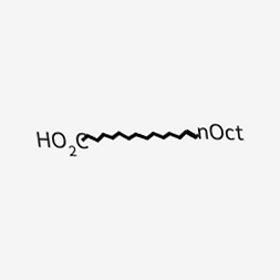 CCCCCCCC/C=C/CCCCCCCCCCCCC(=O)O